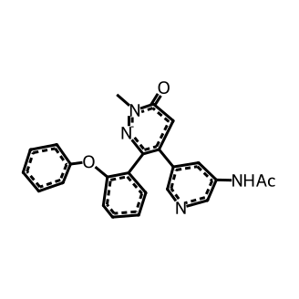 CC(=O)Nc1cncc(-c2cc(=O)n(C)nc2-c2ccccc2Oc2ccccc2)c1